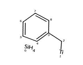 [SiH4].[Ti][CH2]c1ccccc1